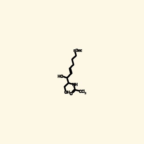 CCCCCCCCCCCCCC=CC(O)C(CO)NC(=O)C(Cl)(Cl)Cl